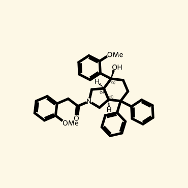 COc1ccccc1CC(=O)N1C[C@@H]2[C@H](C1)C(c1ccccc1)(c1ccccc1)CC[C@@]2(O)c1ccccc1OC